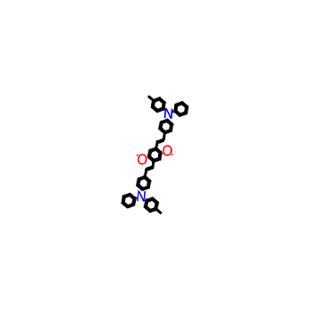 COc1cc(C=Cc2ccc(N(c3ccccc3)c3ccc(C)cc3)cc2)c(OC)cc1C=Cc1ccc(N(c2ccccc2)c2ccc(C)cc2)cc1